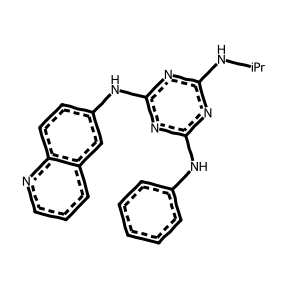 CC(C)Nc1nc(Nc2ccccc2)nc(Nc2ccc3ncccc3c2)n1